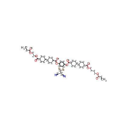 C=CC(=O)OCCCCOC(=O)C1CCC(C2CCC(C(=O)Oc3ccc(OC(=O)C4CCC(C5CCC(C(=O)OCCOC(=O)C=C)CC5)CC4)c4c3SC(C(C#N)C#N)S4)CC2)CC1